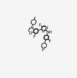 CC1CCC(N2CCOc3c(F)cc(-c4nc(Nc5ccc(C6CCN(C)CC6)c(F)c5)ncc4F)cc32)CC1